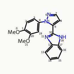 COc1ccc(-n2nccc2-c2nc3ccccc3[nH]2)cc1OC